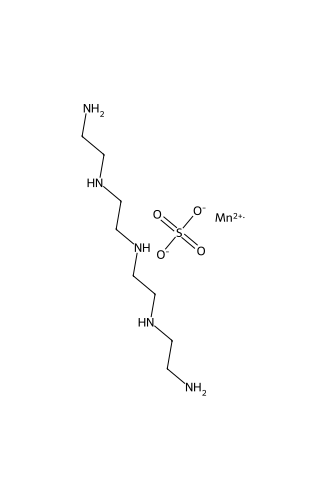 NCCNCCNCCNCCN.O=S(=O)([O-])[O-].[Mn+2]